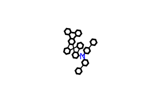 c1ccc(-c2ccc(N(c3cccc(-c4ccccc4)c3)c3cccc4c3-c3ccccc3C43c4ccccc4-c4cc5c6ccccc6c6ccccc6c5cc43)cc2)cc1